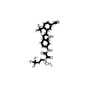 CN(CCC(F)(F)F)C(=O)C(=O)Nc1ccc2cc(-c3cc(C#N)ccc3C(F)(F)F)[nH]c2c1